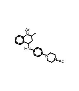 CC(=O)N1CCN(c2ccc(N[C@@H]3C[C@H](C)N(C(C)=O)c4ccccc43)cc2)CC1